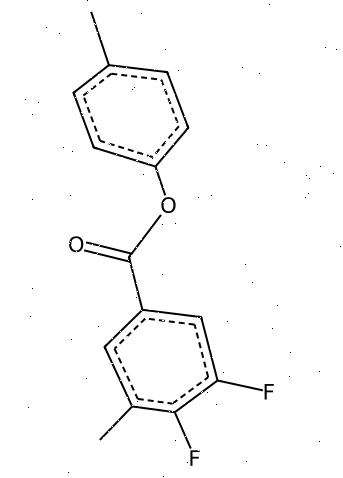 Cc1ccc(OC(=O)c2cc(C)c(F)c(F)c2)cc1